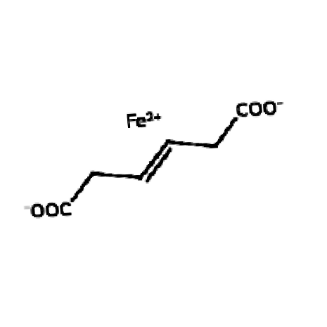 O=C([O-])CC=CCC(=O)[O-].[Fe+2]